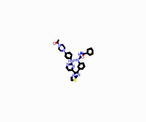 CC(=O)N1CCN(c2ccc(Nc3nccc(-c4c(-c5cccc(Nc6nnc(-c7ccccc7)o6)c5)nc5sccn45)n3)cc2)CC1